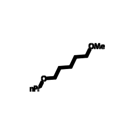 CCCOCCCCCOC